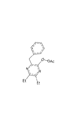 CCc1nc(Cc2ccccc2)c(OOC(C)=O)nc1CC